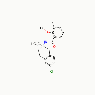 Cc1cccc(C(=O)NC2(C(=O)O)CCc3cc(Cl)ccc3C2)c1OC(C)C